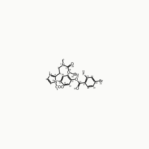 CN(CCC1=NC=C[N+]1(C(=O)[O-])c1ccc(OC(=O)c2ccc(Br)cc2F)cc1)C(=O)OC(C)(C)C